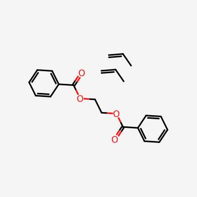 C=CC.C=CC.O=C(OCCOC(=O)c1ccccc1)c1ccccc1